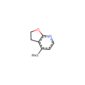 CSc1ccnc2c1CCO2